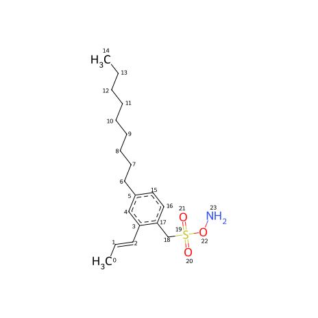 CC=Cc1cc(CCCCCCCCC)ccc1CS(=O)(=O)ON